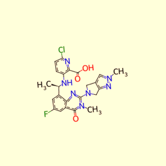 C[C@@H](Nc1ccc(Cl)nc1C(=O)O)c1cc(F)cc2c(=O)n(C)c(N3Cc4cn(C)nc4C3)nc12